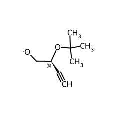 C#C[C@@H](C[O])OC(C)(C)C